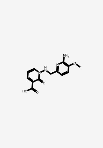 COc1ccc(CNn2cccc(C(=O)O)c2=O)nc1N